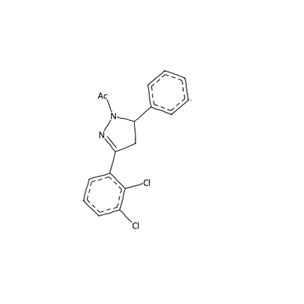 CC(=O)N1N=C(c2cccc(Cl)c2Cl)CC1c1c[c]ccc1